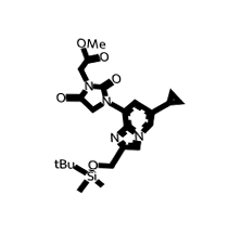 COC(=O)CN1C(=O)CN(c2cc(C3CC3)cn3cc(CO[Si](C)(C)C(C)(C)C)nc23)C1=O